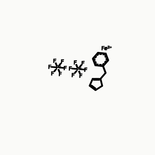 C1=CCC(Cc2ccccc2)=C1.F[P-](F)(F)(F)(F)F.F[P-](F)(F)(F)(F)F.[Fe+2]